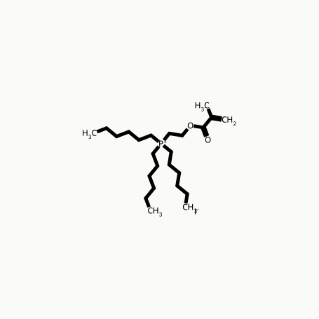 C=C(C)C(=O)OCC[P+](CCCCCC)(CCCCCC)CCCCCC.[I-]